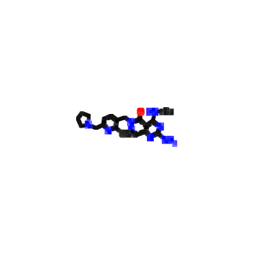 CCCCNc1nc(N)nc2cnn(Cc3ccc(CN4CCCC4)nc3OC)c(=O)c12